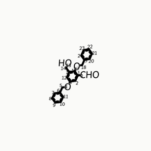 O=Cc1cc(OCc2ccccc2)cc(CO)c1OCc1ccccc1